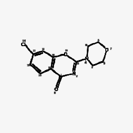 O=c1nc(N2CCOCC2)oc2cc(Cl)ccc12